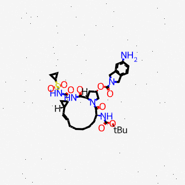 CC(C)(C)OC(=O)N[C@H]1CCCCC/C=C/[C@@H]2C[C@@]2(C(=O)NS(=O)(=O)C2CC2)NC(=O)[C@@H]2C[C@@H](OC(=O)N3Cc4ccc(N)cc4C3)CN2C1=O